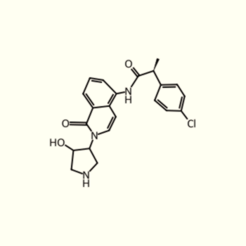 C[C@H](C(=O)Nc1cccc2c(=O)n(C3CNCC3O)ccc12)c1ccc(Cl)cc1